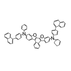 C1=CCCC(N(c2ccc(-c3cccc4ccccc34)cc2)c2ccc3c(c2)oc2c4oc5cc(N(c6ccccc6)c6ccc(-c7cccc8ccccc78)cc6)ccc5c4c4ccccc4c32)=C1